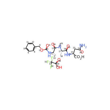 C[C@H](NC(=O)OCc1ccccc1)C(=O)N(C)[C@@H](C)C(=O)N[C@@H](CC(N)=O)C(=O)O.O=C(O)C(F)(F)F